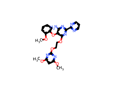 COc1cc(OC)nc(OCCOc2nc(-c3ncccn3)nc(N)c2Oc2ccccc2OC)n1